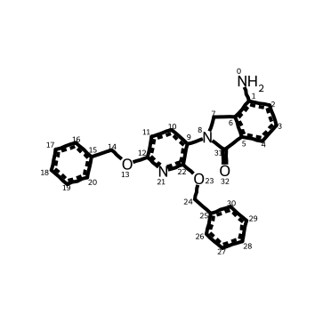 Nc1cccc2c1CN(c1ccc(OCc3ccccc3)nc1OCc1ccccc1)C2=O